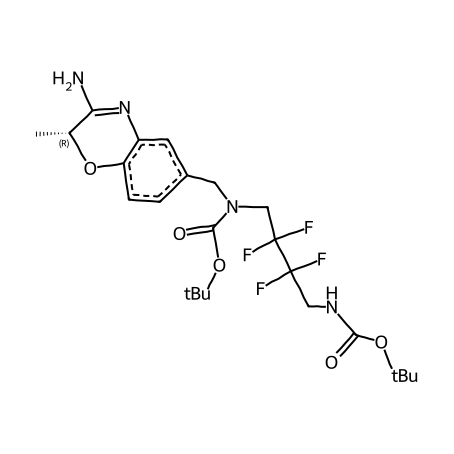 C[C@H]1Oc2ccc(CN(CC(F)(F)C(F)(F)CNC(=O)OC(C)(C)C)C(=O)OC(C)(C)C)cc2N=C1N